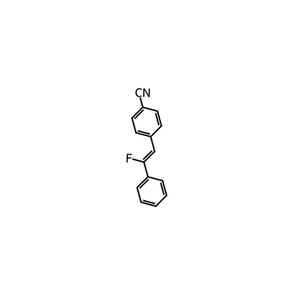 N#Cc1ccc(C=C(F)c2ccccc2)cc1